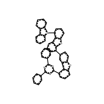 c1ccc(-c2nc(-c3ccccc3)nc(-c3cccc4oc5ccc(-c6cccc7c6sc6cccc(-n8c9ccccc9c9ccccc98)c67)cc5c34)n2)cc1